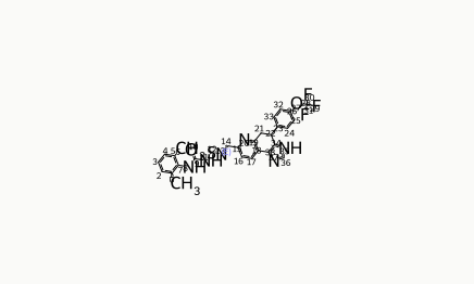 Cc1cccc(C)c1NC(=O)NS/N=C/c1ccc2c(n1)CC(c1ccc(OC(F)(F)F)cc1)c1[nH]cnc1-2